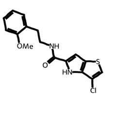 COc1ccccc1CCNC(=O)c1cc2scc(Cl)c2[nH]1